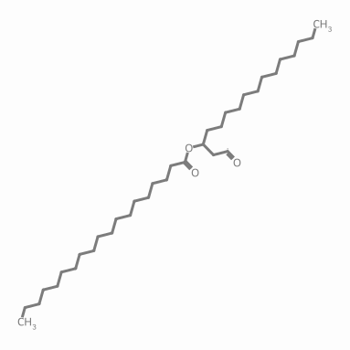 CCCCCCCCCCCCCCCCCCC(=O)OC(C[C]=O)CCCCCCCCCCCCC